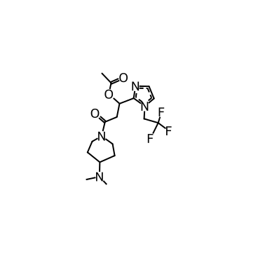 CC(=O)OC(CC(=O)N1CCC(N(C)C)CC1)c1nccn1CC(F)(F)F